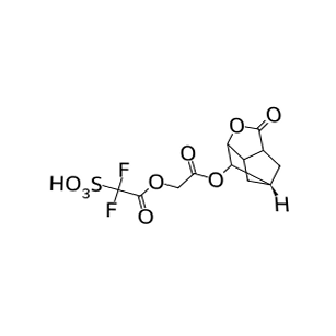 O=C(COC(=O)C(F)(F)S(=O)(=O)O)OC1C2OC(=O)C3C[C@@H]1CC32